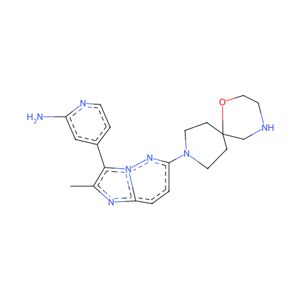 Cc1nc2ccc(N3CCC4(CC3)CNCCO4)nn2c1-c1ccnc(N)c1